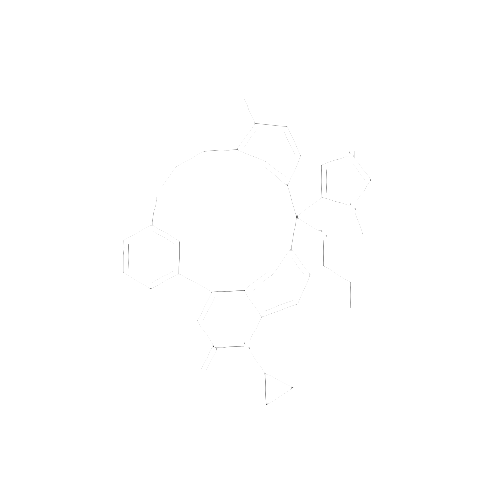 Cn1cncc1C1(NCCF)c2ccc(Cl)c(c2)CCOc2cccc(c2)-c2cc(=O)n(C3CC3)c3ccc1cc23